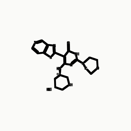 Cl.O=c1[nH]c(N2CCOCC2)nc(N[C@@H]2CCCNC2)c1-c1nc2cnccc2s1